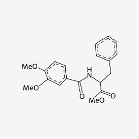 COC(=O)C(Cc1ccccc1)NC(=O)c1ccc(OC)c(OC)c1